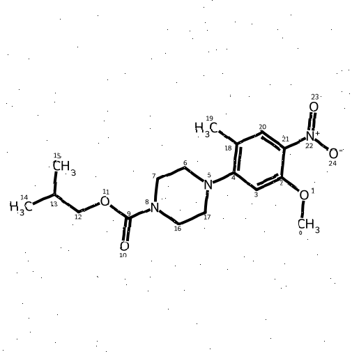 COc1cc(N2CCN(C(=O)OCC(C)C)CC2)c(C)cc1[N+](=O)[O-]